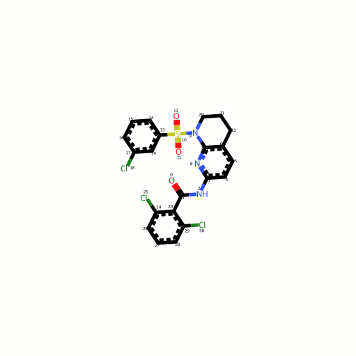 O=C(Nc1ccc2c(n1)N(S(=O)(=O)c1cccc(Cl)c1)CCC2)c1c(Cl)cccc1Cl